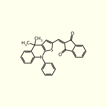 CC1(C)c2ccccc2N(c2ccccc2)c2sc(C=C3C(=O)c4ccccc4C3=O)cc21